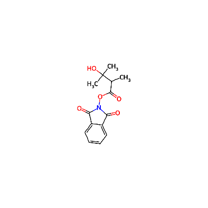 CC(C(=O)ON1C(=O)c2ccccc2C1=O)C(C)(C)O